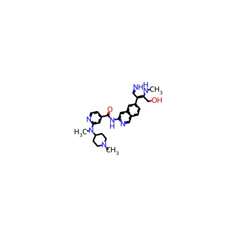 CN/C(CO)=C(\C=N)c1ccc2cnc(NC(=O)c3ccnc(N(C)C4CCN(C)CC4)c3)cc2c1